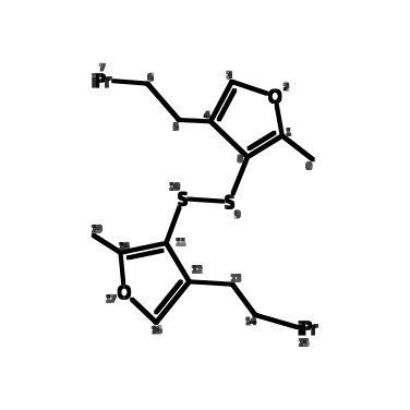 Cc1occ(CCC(C)C)c1SSc1c(CCC(C)C)coc1C